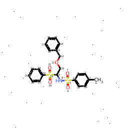 Cc1ccc(S(=O)(=O)NC(COCc2ccccc2)S(=O)(=O)c2ccccc2)cc1